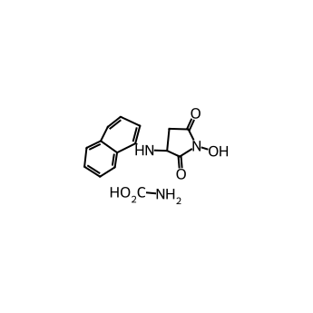 NC(=O)O.O=C1CC(Nc2cccc3ccccc23)C(=O)N1O